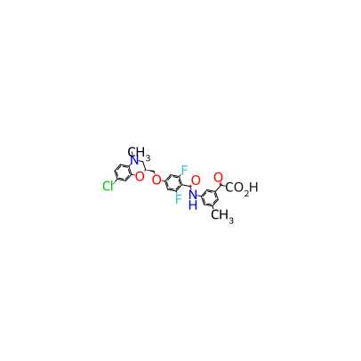 Cc1cc(NC(=O)c2c(F)cc(OC[C@@H]3CN(C)c4ccc(Cl)cc4O3)cc2F)cc(C(=O)C(=O)O)c1